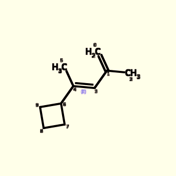 C=C(C)/C=C(\C)C1CCC1